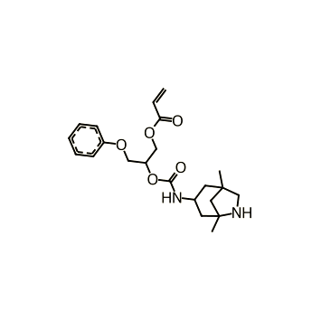 C=CC(=O)OCC(COc1ccccc1)OC(=O)NC1CC2(C)CNC(C)(C1)C2